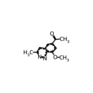 COc1cc(C(C)=O)cc2cc(C)nnc12